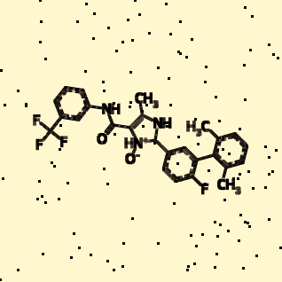 CC1=C(C(=O)Nc2cccc(C(F)(F)F)c2)[NH+]([O-])C(c2ccc(F)c(-c3c(C)cccc3C)c2)N1